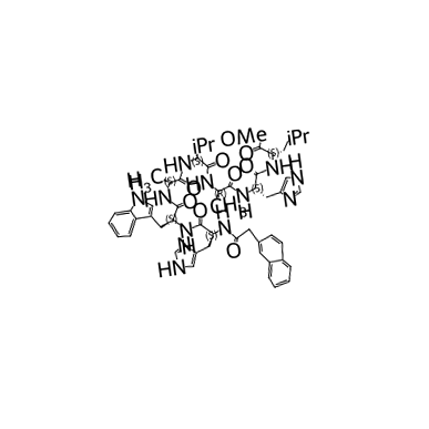 COC(=O)[C@H](CC(C)C)NC(=O)[C@H](Cc1c[nH]cn1)NC(=O)[C@@H](C)NC(=O)[C@@H](NC(=O)[C@H](C)NC(=O)[C@H](Cc1c[nH]c2ccccc12)NC(=O)[C@H](Cc1c[nH]cn1)NC(=O)Cc1ccc2ccccc2c1)C(C)C